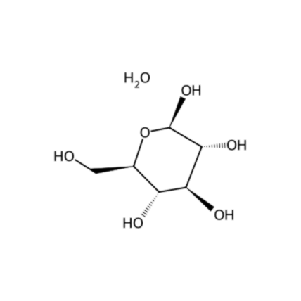 O.OC[C@H]1O[C@@H](O)[C@H](O)[C@@H](O)[C@@H]1O